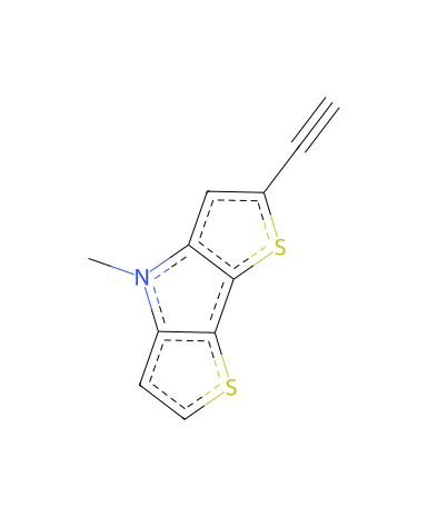 C#Cc1cc2c(s1)c1sccc1n2C